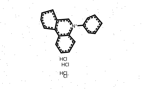 Cl.Cl.Cl.[Cl-].c1ccc(-[n+]2cc3ccccc3c3ccccc32)cc1